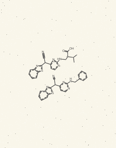 CC(C)C(CNc1nccc(C(C#N)c2nc3ccccc3s2)n1)C(=O)O.N#CC(c1ccnc(NCc2ccccc2)n1)c1nc2ccccc2s1